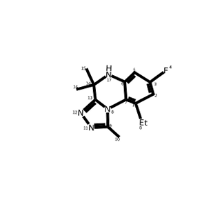 CCc1cc(F)cc2c1-n1c(C)nnc1C(C)(C)N2